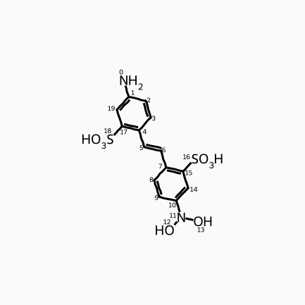 Nc1ccc(/C=C/c2ccc(N(O)O)cc2S(=O)(=O)O)c(S(=O)(=O)O)c1